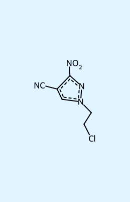 N#Cc1cn(CCCl)nc1[N+](=O)[O-]